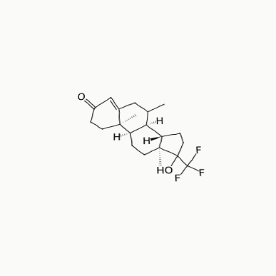 CC1CC2=CC(=O)CC[C@]2(C)[C@@H]2CC[C@@]3(C)[C@@H](CCC3(O)C(F)(F)F)[C@H]12